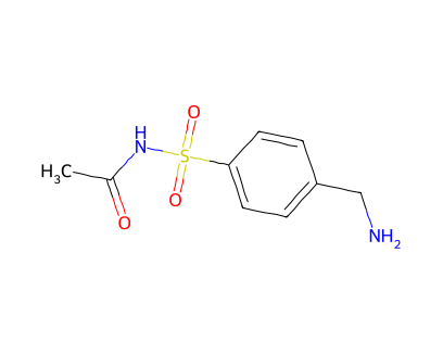 CC(=O)NS(=O)(=O)c1ccc(CN)cc1